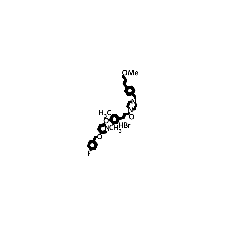 Br.COCC=Cc1ccc(CN2CCN(C(=O)C=Cc3cc(C)c(Oc4ccc(OCc5ccc(F)cc5)cn4)c(C)c3)CC2)cc1